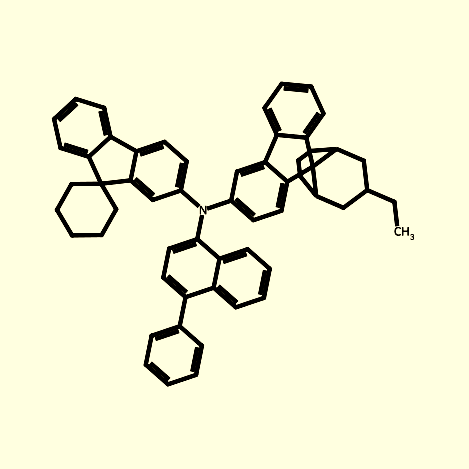 CCC1CC2CCCC(C1)C21c2ccccc2-c2cc(N(c3ccc4c(c3)C3(CCCCC3)c3ccccc3-4)c3ccc(-c4ccccc4)c4ccccc34)ccc21